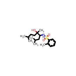 Cc1ccccc1S(=O)(=O)NC(CC(C)C)C(C)(O)CCC(C)C